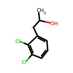 CC(O)[CH]c1cccc(Cl)c1Cl